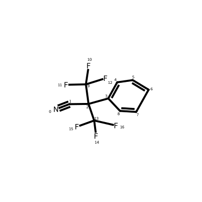 N#CC(c1ccccc1)(C(F)(F)F)C(F)(F)F